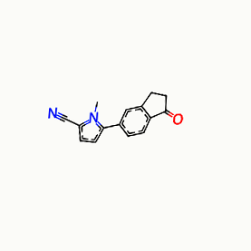 Cn1c(C#N)ccc1-c1ccc2c(c1)CCC2=O